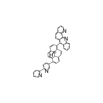 C1=CC2=C(c3c4ccccc4nc4c3ccc3cccnc34)C=CC3=CC=C4C(c5ccc(-c6ccccn6)nc5)=CC=C1C4[C@H]32